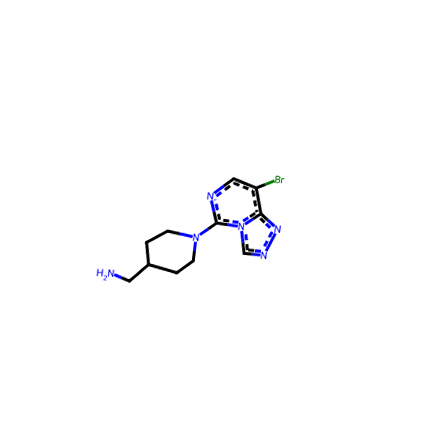 NCC1CCN(c2ncc(Br)c3nncn23)CC1